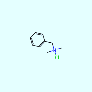 C[N+](C)(Cl)Cc1ccccc1